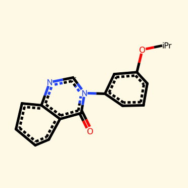 CC(C)Oc1cccc(-n2[c]nc3ccccc3c2=O)c1